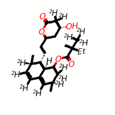 [2H]C1=C([2H])[C@]([2H])(C)[C@H](CCC2C[C@@H](O)C([2H])([2H])C(=O)O2)[C@@H]2C1=C([2H])[C@]([2H])(C)C([2H])([2H])C2OC(=O)C(C)(CC)C([2H])([2H])[2H]